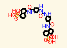 O=C(Nc1ccc(C(=O)Nc2ccc(O)c3c(S(=O)(=O)O)cccc23)cc1)Nc1ccc(C(=O)Nc2ccc(O)c3c(S(=O)(=O)O)cccc23)cc1